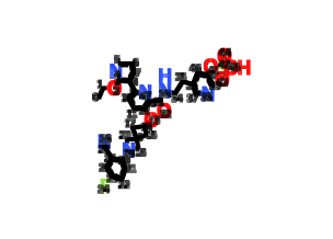 CCOc1ncccc1-c1ccc(OC2CC3(C2)CN(c2ccc(F)cc2C#N)C3)c(C(=O)NCCc2cncc(OS(=O)(=O)O)c2)n1